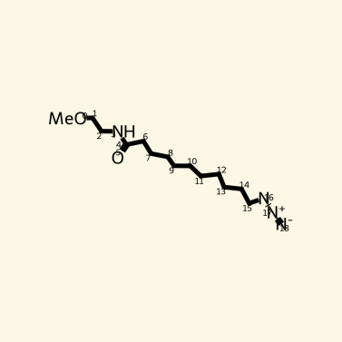 COCCNC(=O)CCCCCCCCCCN=[N+]=[N-]